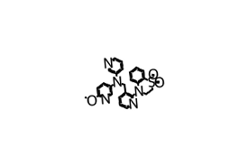 COc1ccc(N(Cc2cccnc2N2CCS(=O)(=O)c3ccccc32)c2cccnc2)cn1